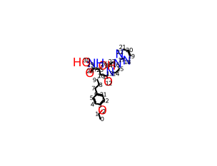 CCOc1ccc(CCC[C@@H](C(=O)N2CCN(c3ncccn3)CC2)[C@H](O)C(=O)NO)cc1